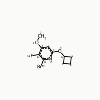 COc1cc(OC2CCC2)nc(Br)c1F